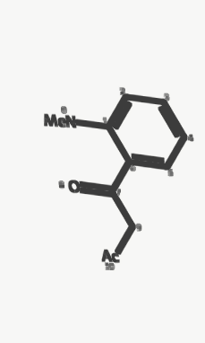 CNc1ccccc1C(=O)CC(C)=O